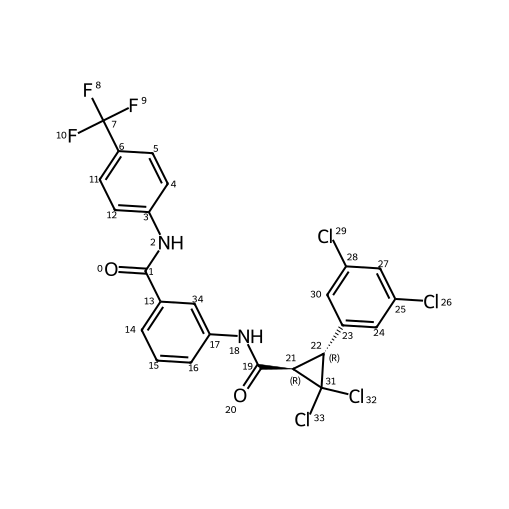 O=C(Nc1ccc(C(F)(F)F)cc1)c1cccc(NC(=O)[C@H]2[C@H](c3cc(Cl)cc(Cl)c3)C2(Cl)Cl)c1